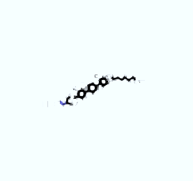 C/C=C/C1COC(c2ccc(-c3ccc(-c4ccc(OCCCCCCC)c(F)c4F)cc3)c(F)c2F)OC1